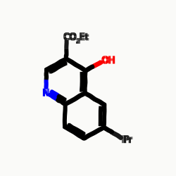 CCOC(=O)c1cnc2ccc(C(C)C)cc2c1O